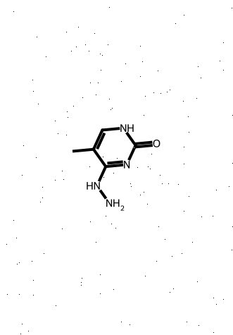 Cc1c[nH]c(=O)nc1NN